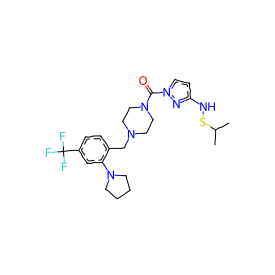 CC(C)SNc1ccn(C(=O)N2CCN(Cc3ccc(C(F)(F)F)cc3N3CCCC3)CC2)n1